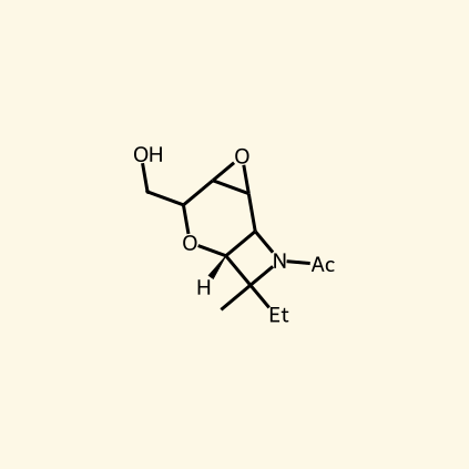 CCC1(C)[C@@H]2OC(CO)C3OC3C2N1C(C)=O